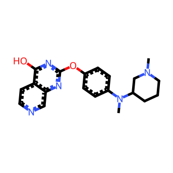 CN1CCCC(N(C)c2ccc(Oc3nc(O)c4ccncc4n3)cc2)C1